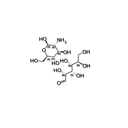 N[C@@H]1[C@@H](O)[C@H](O)[C@@H](CO)O[C@H]1O.O=C[C@H](O)[C@@H](O)[C@H](O)[C@H](O)CO